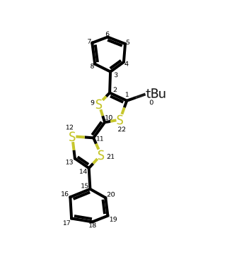 CC(C)(C)C1=C(c2ccccc2)S/C(=C2\SC=C(c3ccccc3)S2)S1